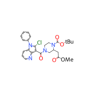 COC(=O)CC1CN(C(=O)c2c(Cl)n(-c3ccccc3)c3cccnc23)CCN1C(=O)OC(C)(C)C